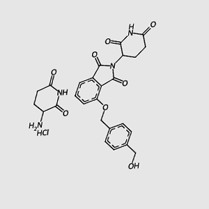 Cl.NC1CCC(=O)NC1=O.O=C1CCC(N2C(=O)c3cccc(OCc4ccc(CO)cc4)c3C2=O)C(=O)N1